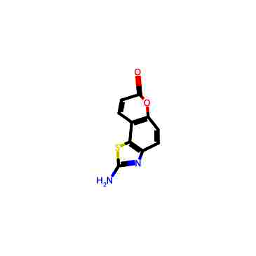 Nc1nc2ccc3oc(=O)ccc3c2s1